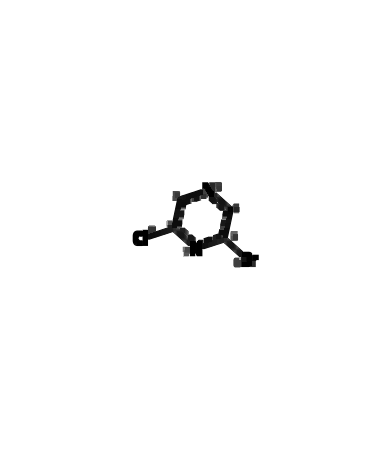 Clc1cncc(Br)n1